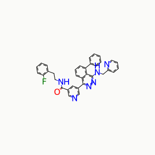 O=C(NCCc1ccccc1F)c1cncc(-c2nnc(NCc3ccccn3)c3c(-c4ccccc4)cccc23)c1